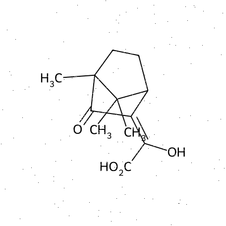 CC12CCC(C(=C(O)C(=O)O)C1=O)C2(C)C